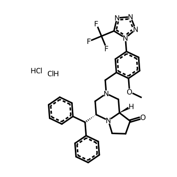 COc1ccc(-n2nnnc2C(F)(F)F)cc1CN1C[C@@H]2C(=O)CCN2[C@H](C(c2ccccc2)c2ccccc2)C1.Cl.Cl